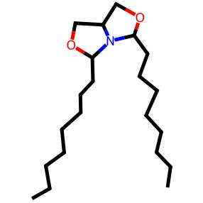 CCCCCCCCC1OCC2COC(CCCCCCCC)N21